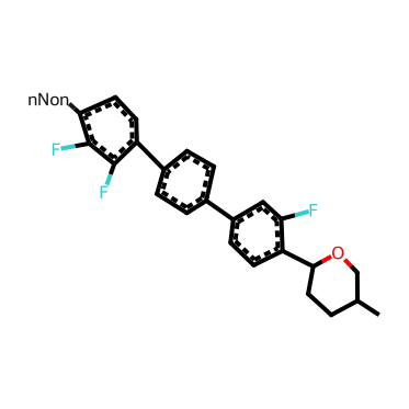 CCCCCCCCCc1ccc(-c2ccc(-c3ccc(C4CCC(C)CO4)c(F)c3)cc2)c(F)c1F